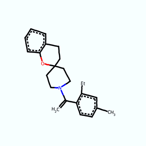 C=C(c1ccc(C)cc1CC)N1CCC2(CCc3ccccc3O2)CC1